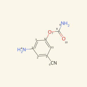 N#Cc1cc(N)cc(OC(N)=O)c1